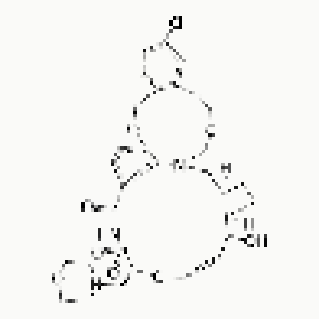 O=C1NS(=O)(=O)[C@H](CN2CCOCC2)CC/C=C\[C@H](O)[C@@H]2CC[C@H]2CN2CCCCc3cc(Cl)ccc3COc3ccc1cc32